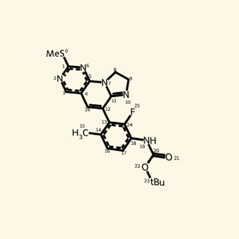 CSc1ncc2c(n1)N1CCN=C1C(c1c(C)ccc(NC(=O)OC(C)(C)C)c1F)=C2